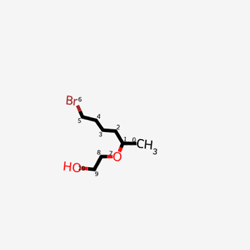 CC(CCCCBr)OCCO